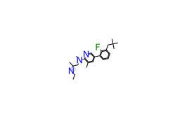 CC/N=C(/C)CN(C)c1ncc(-c2cccc(CC(C)(C)C)c2F)cc1C